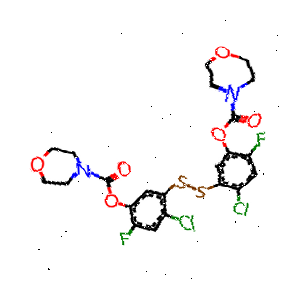 O=C(Oc1cc(SSc2cc(OC(=O)N3CCOCC3)c(F)cc2Cl)c(Cl)cc1F)N1CCOCC1